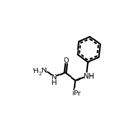 CC(C)C(Nc1ccccc1)C(=O)NN